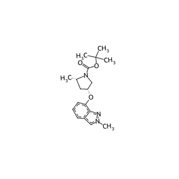 C[C@H]1C[C@@H](Oc2cccc3cn(C)nc23)CN1C(=O)OC(C)(C)C